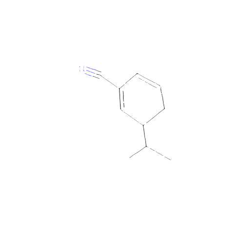 CC(C)C1C=C(C#N)C=CC1